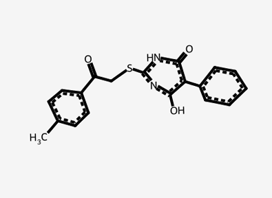 Cc1ccc(C(=O)CSc2nc(O)c(-c3ccccc3)c(=O)[nH]2)cc1